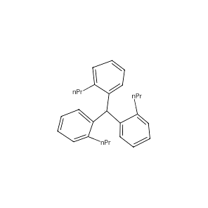 CCCc1ccccc1[C](c1ccccc1CCC)c1ccccc1CCC